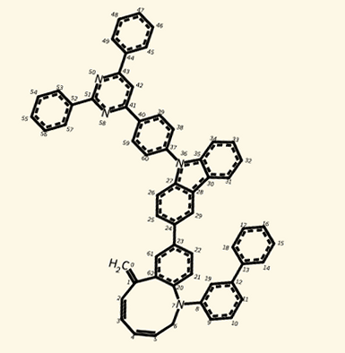 C=C1/C=C\C=C/CN(c2cccc(-c3ccccc3)c2)c2ccc(-c3ccc4c(c3)c3ccccc3n4-c3ccc(-c4cc(-c5ccccc5)nc(-c5ccccc5)n4)cc3)cc21